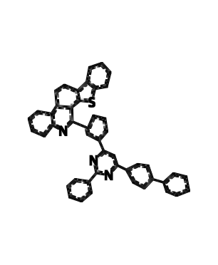 c1ccc(-c2ccc(-c3cc(-c4cccc(-c5nc6ccccc6c6ccc7c8ccccc8sc7c56)c4)nc(-c4ccccc4)n3)cc2)cc1